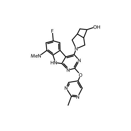 CNc1cc(F)cc2c1[nH]c1nc(Oc3cnc(C)nc3)nc(N3CC4CC(O)C4C3)c12